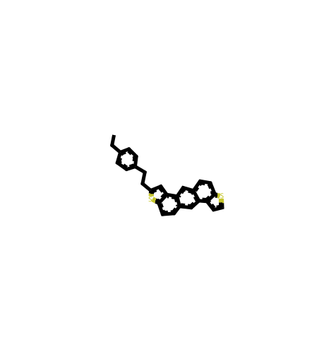 CCc1ccc(CCc2cc3c(ccc4cc5c(ccc6sccc65)cc43)s2)cc1